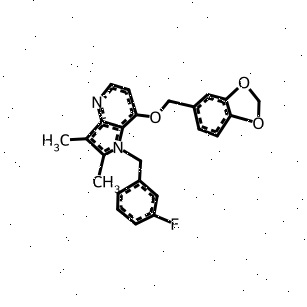 Cc1c(C)n(Cc2cccc(F)c2)c2c(OCc3ccc4c(c3)OCO4)ccnc12